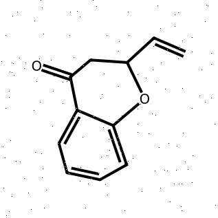 C=CC1CC(=O)c2ccccc2O1